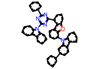 c1ccc(-c2ccc3c4ccccc4n(-c4cccc5c4oc4cccc(-c6nc(-c7ccccc7)nc(-n7c8ccccc8c8ccccc87)n6)c45)c3c2)cc1